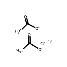 CC(=O)[O-].CC(=O)[O-].[Cl+].[Cl+]